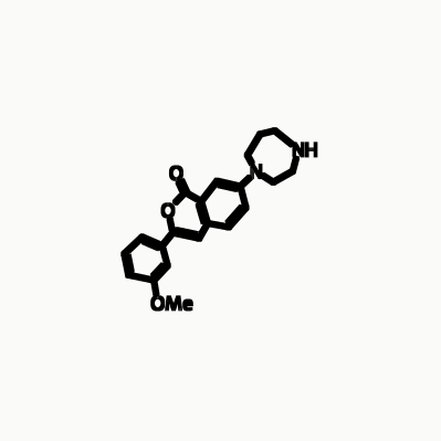 COc1cccc(-c2cc3ccc(N4CCCNCC4)cc3c(=O)o2)c1